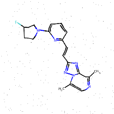 Cc1ncc(C)n2nc(C=Cc3cccc(N4CCC(F)C4)n3)nc12